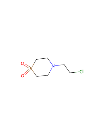 O=S1(=O)CCN(CCCl)CC1